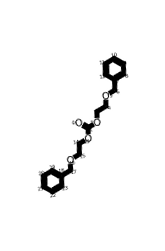 O=C(OCCOCc1ccccc1)OCCOCc1ccccc1